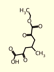 CCOC(=O)C(=O)CC(C)CC(=O)C(=O)O